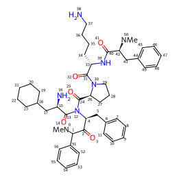 CNC(C(=O)[C@H](Cc1ccccc1)N(C(=O)[C@H](N)CC1CCCCC1)C(=O)[C@@H]1CCCN1C(=O)[C@H](CCCCN)NC(=O)[C@H](Cc1ccccc1)NC)c1ccccc1